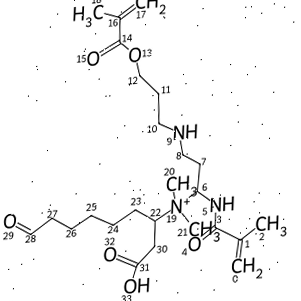 C=C(C)C(=O)NC(CCNCCCOC(=O)C(=C)C)[N+](C)(C)C(CCCCCC=O)CC(=O)O